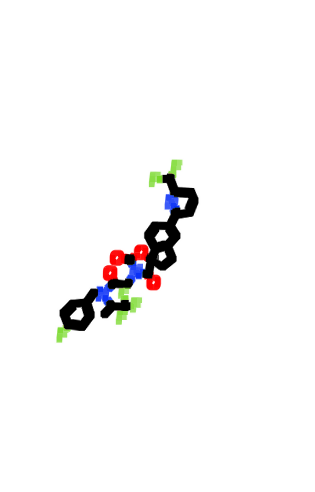 CC(N(Cc1ccc(F)cc1)C(=O)CN1C(=O)O[C@@]2(CCc3cc(-c4cccc(C(F)F)n4)ccc32)C1=O)C(F)(F)F